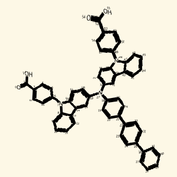 O=C(O)c1ccc(-n2c3ccccc3c3cc(N(c4ccc(-c5ccc(-c6ccccc6)cc5)cc4)c4ccc5c(c4)c4ccccc4n5-c4ccc(C(=O)O)cc4)ccc32)cc1